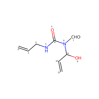 C=CCNC(=O)N([C]=O)C(O)C=C